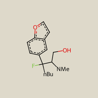 CCCCC(F)(c1ccc2occc2c1)C(CO)NC